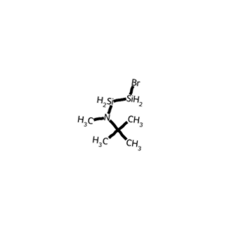 CN([SiH2][SiH2]Br)C(C)(C)C